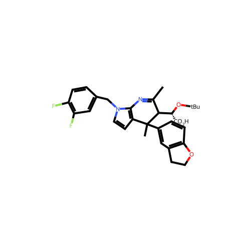 CC1=Nc2c(ccn2Cc2ccc(F)c(F)c2)C(C)(c2ccc3c(c2)CCO3)C1[C@H](OC(C)(C)C)C(=O)O